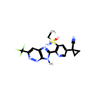 CC[S@@](=N)(=O)c1cc(C2(C#N)CC2)cnc1-c1nc2cc(C(F)(F)F)nnc2n1C